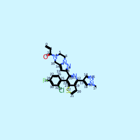 C=CC(=O)N1CCn2nc(-c3nc(-c4cnn(C)c4)c4ccsc4c3-c3ccc(F)cc3Cl)cc2C1